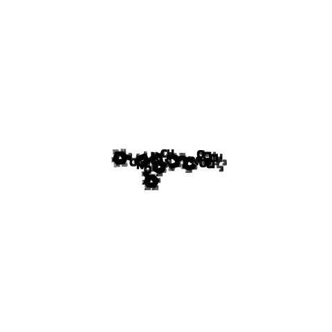 Cn1nc(-c2ccc(OCc3ccccc3)nc2OCc2ccccc2)c2cccc(N3CCC(CC4CCCN(C(=O)OC(C)(C)C)C4)CC3)c21